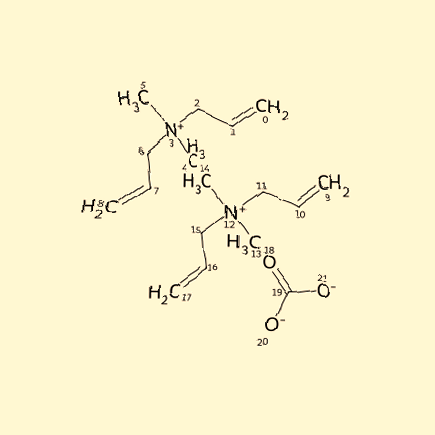 C=CC[N+](C)(C)CC=C.C=CC[N+](C)(C)CC=C.O=C([O-])[O-]